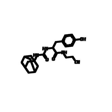 N#CCCNC(=O)C(Cc1ccc(O)cc1)NC(=O)NC12CC3CC(CC(C3)C1)C2